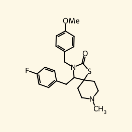 COc1ccc(CN2C(=O)SC3(CCN(C)CC3)C2Cc2ccc(F)cc2)cc1